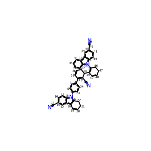 N#CC1=C(c2ccc(-n3c4c(c5cc(C#N)ccc53)C=CCC4)cc2)C=CCC1C1=C(n2c3ccccc3c3cc(C#N)ccc32)CCC=C1